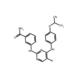 CC(C#N)Oc1ccc(Nc2nc(Nc3cccc(C(N)=O)c3)ncc2F)cc1